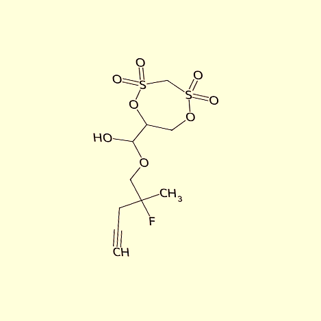 C#CCC(C)(F)COC(O)C1COS(=O)(=O)CS(=O)(=O)O1